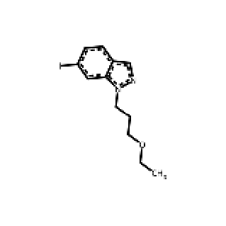 CCOCCCn1ncc2ccc(I)cc21